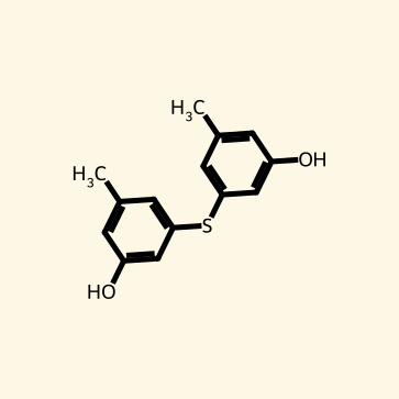 Cc1cc(O)cc(Sc2cc(C)cc(O)c2)c1